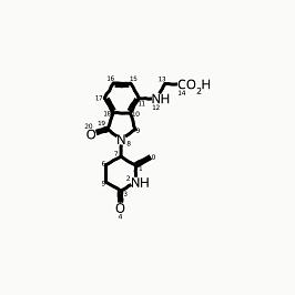 C=C1NC(=O)CCC1N1Cc2c(NCC(=O)O)cccc2C1=O